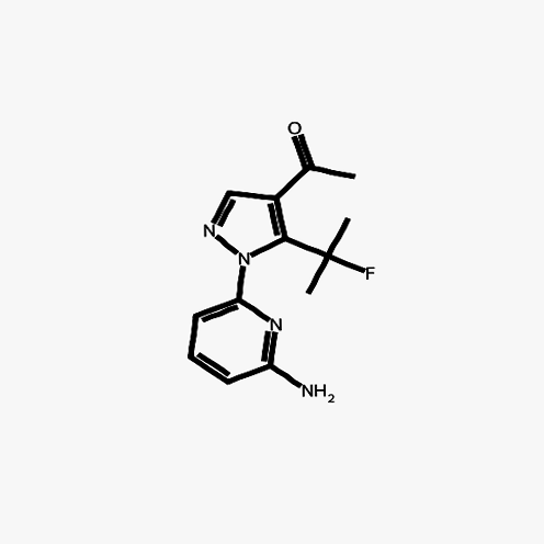 CC(=O)c1cnn(-c2cccc(N)n2)c1C(C)(C)F